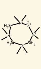 C[N+]1(C)[SiH2][N+](C)(C)[SiH2][N+](C)(C)[SiH2][N+](C)(C)[SiH2]1